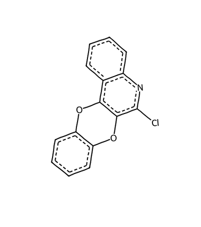 Clc1nc2ccccc2c2c1Oc1ccccc1O2